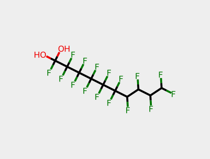 OC(O)(F)C(F)(F)C(F)(F)C(F)(F)C(F)(F)C(F)(F)C(F)C(F)C(F)C(F)F